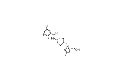 Cc1cc(CO)n(C[C@H]2CC[C@H](NC(=O)c3cc(Cl)cnc3C)CC2)n1